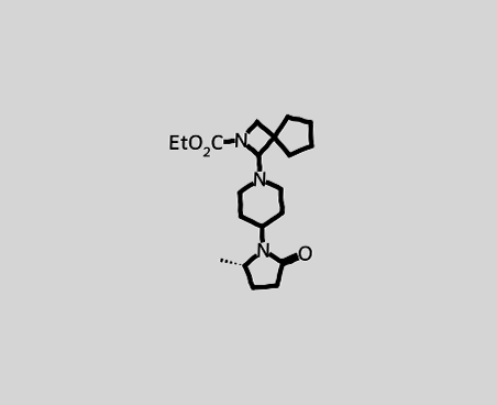 CCOC(=O)N1CC2(CCCC2)C1N1CCC(N2C(=O)CC[C@@H]2C)CC1